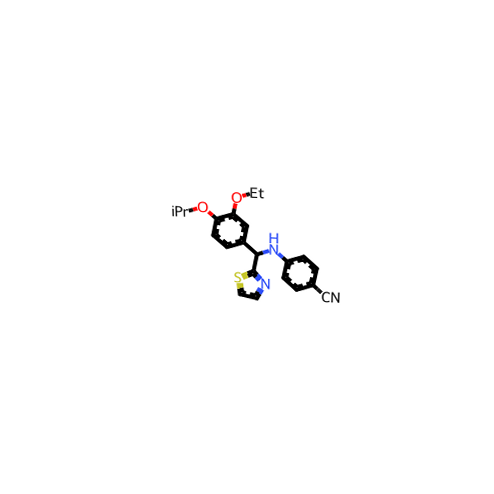 CCOc1cc(C(Nc2ccc(C#N)cc2)c2nccs2)ccc1OC(C)C